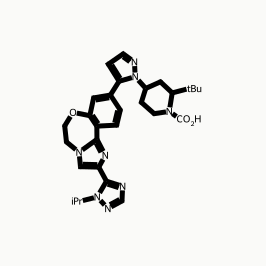 CC(C)n1ncnc1-c1cn2c(n1)-c1ccc(-c3ccnn3C3CCN(C(=O)O)C(C(C)(C)C)C3)cc1OCC2